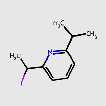 CC(C)c1cccc(C(C)I)n1